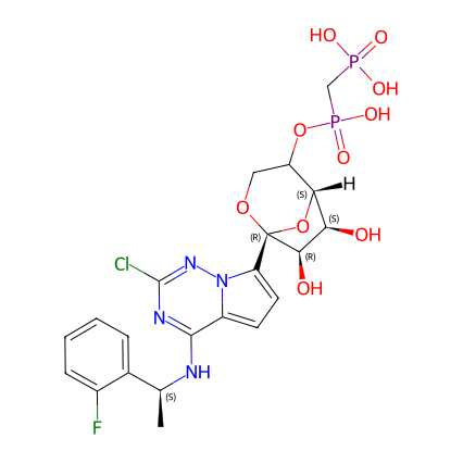 C[C@H](Nc1nc(Cl)nn2c([C@@]34OCC(OP(=O)(O)CP(=O)(O)O)[C@@H](O3)[C@@H](O)[C@H]4O)ccc12)c1ccccc1F